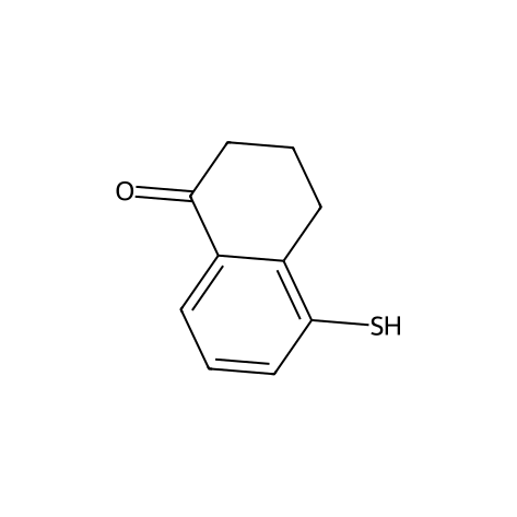 O=C1CCCc2c(S)cccc21